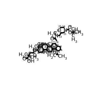 C=C(C)[C@@H]1CCC2[C@@H](CC(=O)N(C)CC3CN(C(=O)OC(C)(C)C)CCO3)C[C@]3(C)[C@H](CC[C@@H]4[C@@]5(C)CC[C@H](OC(=O)CC(C)(C)C(=O)O)C(C)(C)[C@@H]5CC[C@]43C)[C@H]21